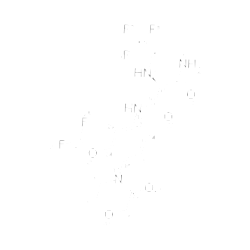 NC(=O)[C@H](NCC(F)(F)F)C(=O)Nc1ccc(N2CCOCC2=O)c(OC(F)F)c1